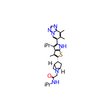 Cc1c(-c2[nH]c3sc([C@@H]4C[C@@H]5C[C@H]4CN5CC(=O)NC(C)C)c(C)c3c2C(C)C)cn2ncnc2c1C